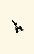 CCCCCCN1C=C/C(=C/C=C/C=c2\c(C(F)(F)F)c(C(=O)OC3C(C)CC(C)CC3C)c3nc(-c4cc(NC(C)=O)ccc4OC)nn23)c2ccccc21